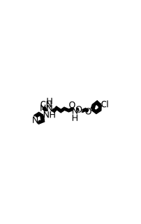 N#C/N=C(\NCCCCCC(=O)NOCCOc1ccc(Cl)cc1)Nc1ccncc1